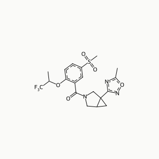 Cc1nc(C23CC2CN(C(=O)c2cc(S(C)(=O)=O)ccc2OC(C)C(F)(F)F)C3)no1